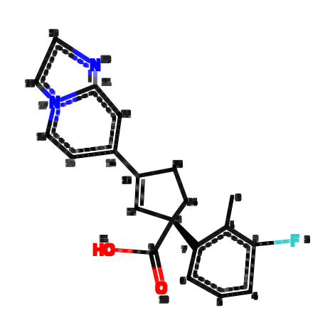 Cc1c(F)cccc1[C@@]1(C(=O)O)C=C(c2ccn3ccnc3c2)CC1